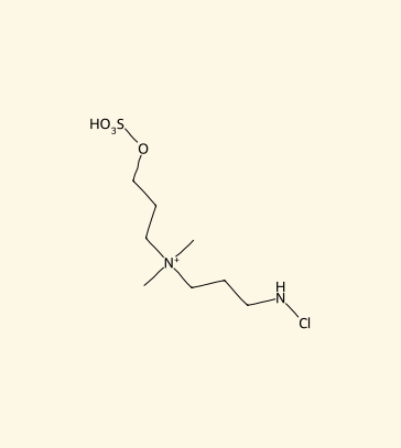 C[N+](C)(CCCNCl)CCCOS(=O)(=O)O